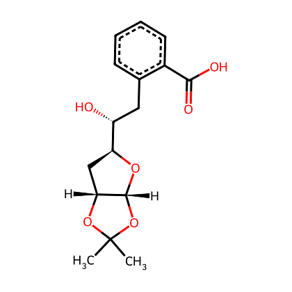 CC1(C)O[C@H]2O[C@H]([C@H](O)Cc3ccccc3C(=O)O)C[C@H]2O1